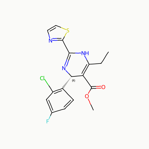 CCC1=C(C(=O)OC)[C@H](c2ccc(F)cc2Cl)N=C(c2nccs2)N1